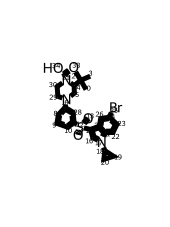 CC(C)(C)C1CN(c2cccc(S(=O)(=O)c3cn(C4CC4)c4ccc(Br)cc34)c2)CCN1C(=O)O